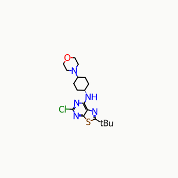 CC(C)(C)c1nc2c(N[C@H]3CC[C@H](N4CCOCC4)CC3)nc(Cl)nc2s1